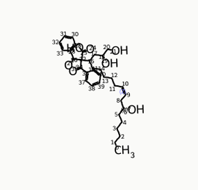 CCCCCC[C@@H](O)C/C=C\CCCCCC(CC(O)CO)C(C(=O)O)(C(=O)c1ccccc1)C(=O)c1ccccc1